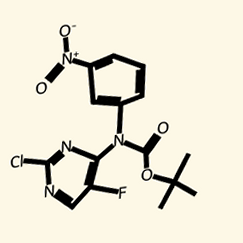 CC(C)(C)OC(=O)N(c1cccc([N+](=O)[O-])c1)c1nc(Cl)ncc1F